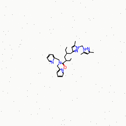 CCC(Cc1cc(C)n(Cn2nc(C)cc2C)n1)CC(CC)C(=O)N(Cc1ccccn1)Cc1ccccn1